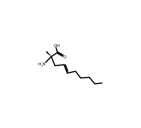 CCCCCC=CC[C@](C)(N)C(=O)O